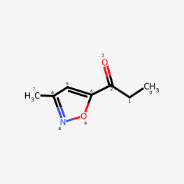 CCC(=O)c1cc(C)no1